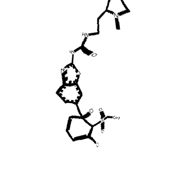 CN1CCCC1CCNC(=O)Nc1nc2ccc(C3(Cl)C=CC=C(Cl)C3S(=O)(=O)O)cc2s1